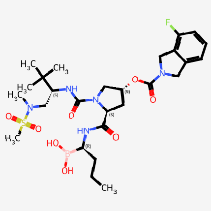 CCC[C@H](NC(=O)[C@@H]1C[C@@H](OC(=O)N2Cc3cccc(F)c3C2)CN1C(=O)N[C@H](CN(C)S(C)(=O)=O)C(C)(C)C)B(O)O